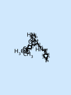 CN(C)S(=O)(=O)c1ccc(-n2cc(CCCNC3C[C@H]3c3ccc(F)cc3)nc(N3CCNCC3)c2=O)cc1